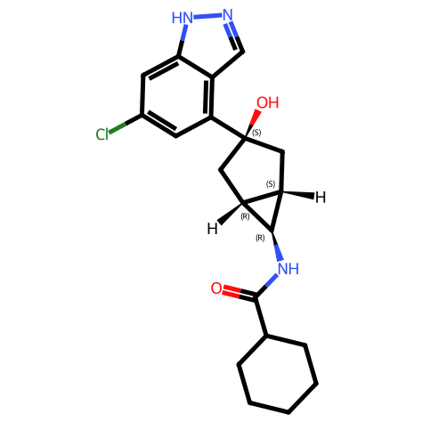 O=C(N[C@H]1[C@@H]2C[C@](O)(c3cc(Cl)cc4[nH]ncc34)C[C@@H]21)C1CCCCC1